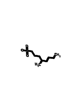 CCCCC(C)CCCS([O])(=O)=O